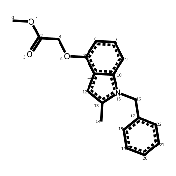 COC(=O)COc1cccc2c1cc(C)n2Cc1ccccc1